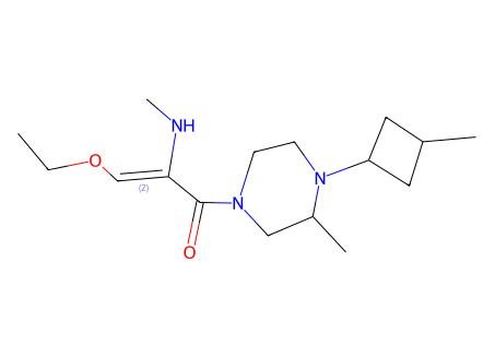 CCO/C=C(\NC)C(=O)N1CCN(C2CC(C)C2)C(C)C1